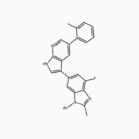 Cc1ccccc1-c1cnc2[nH]cc(-c3cc(F)c4nc(C)n(C(C)C)c4c3)c2c1